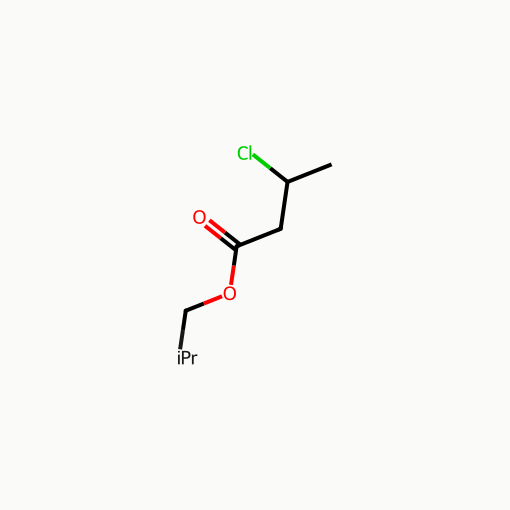 CC(C)COC(=O)CC(C)Cl